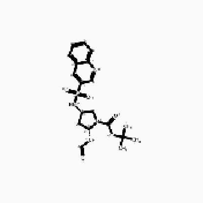 CC(C)(C)OC(=O)N1C[C@H](NS(=O)(=O)c2cnc3ccccc3c2)C[C@H]1NC=O